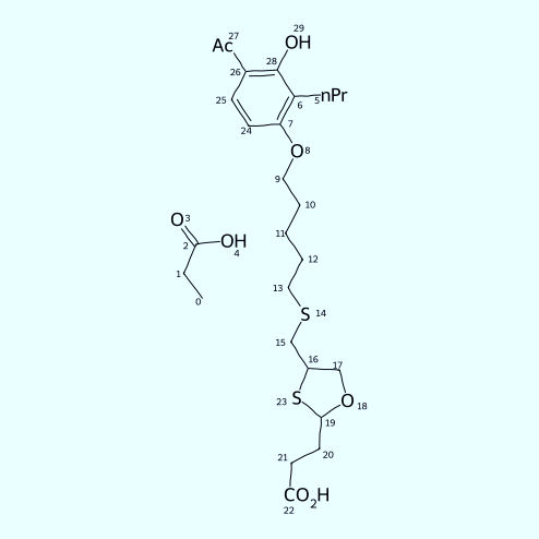 CCC(=O)O.CCCc1c(OCCCCCSCC2COC(CCC(=O)O)S2)ccc(C(C)=O)c1O